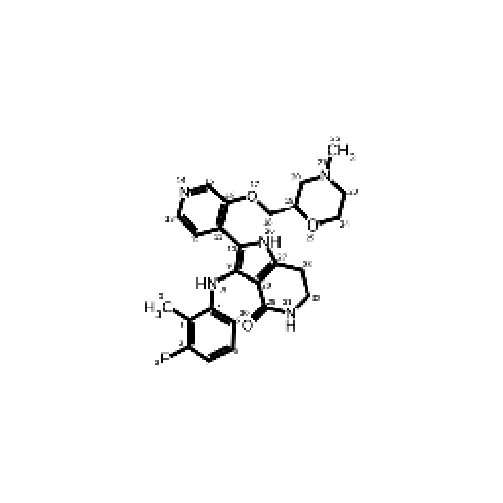 Cc1c(F)cccc1Nc1c(-c2ccncc2OC[C@H]2CN(C)CCO2)[nH]c2c1C(=O)NCC2